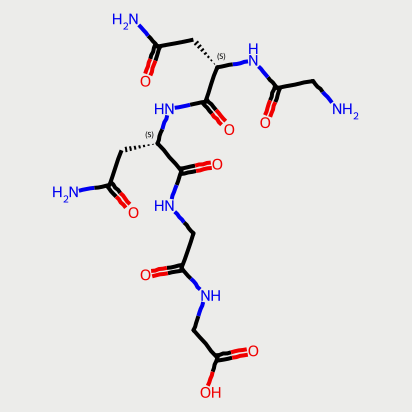 NCC(=O)N[C@@H](CC(N)=O)C(=O)N[C@@H](CC(N)=O)C(=O)NCC(=O)NCC(=O)O